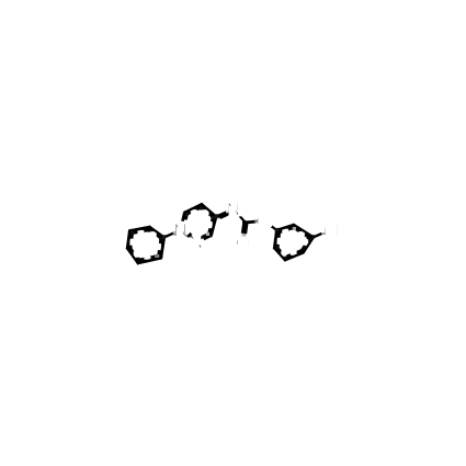 O=C(N=c1ccn(-c2ccccc2)nc1)Oc1cccc(Cl)c1